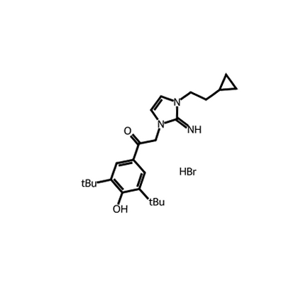 Br.CC(C)(C)c1cc(C(=O)Cn2ccn(CCC3CC3)c2=N)cc(C(C)(C)C)c1O